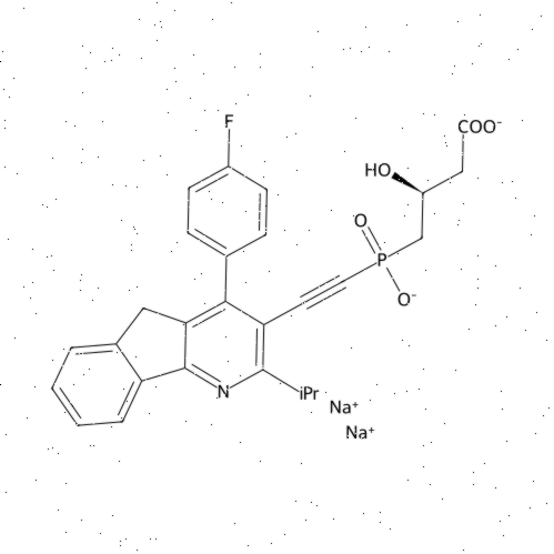 CC(C)c1nc2c(c(-c3ccc(F)cc3)c1C#CP(=O)([O-])C[C@@H](O)CC(=O)[O-])Cc1ccccc1-2.[Na+].[Na+]